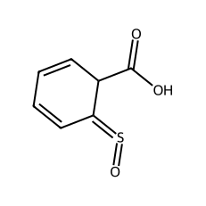 O=S=C1C=CC=CC1C(=O)O